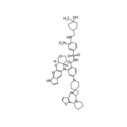 CC(C)c1ccsc1[C@@H]1CCCCN1C1CC2(CCN(c3ccc(C(=O)NS(=O)(=O)c4ccc(NCC5CCC(C)(O)CC5)c([N+](=O)[O-])c4)c(N4c5cc6cc[nH]c6nc5O[C@H]5COCC[C@@H]54)c3)CC2)C1